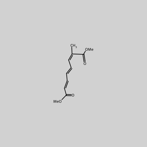 COC(=O)/C=C/C=C/C=C(/C)C(=O)OC